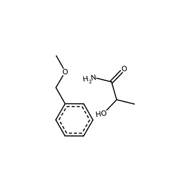 CC(O)C(N)=O.COCc1ccccc1